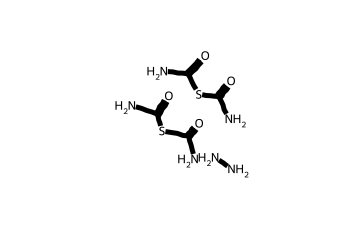 NC(=O)SC(N)=O.NC(=O)SC(N)=O.NN